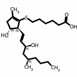 CCCC[C@@H](C)C[C@H](O)C=C[C@@H]1C(SCCCCCC(=O)O)=C(C)C[C@H]1O